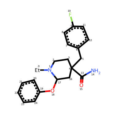 CCN1CCC(Cc2ccc(F)cc2)(C(N)=O)CC1Oc1ccccc1